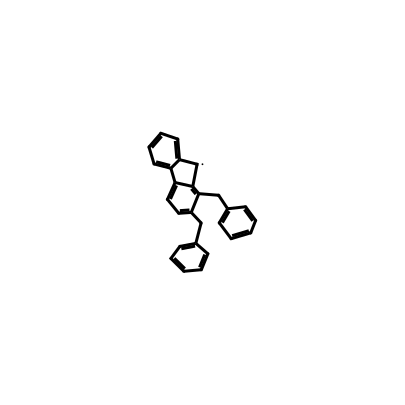 [CH]1c2ccccc2-c2ccc(Cc3ccccc3)c(Cc3ccccc3)c21